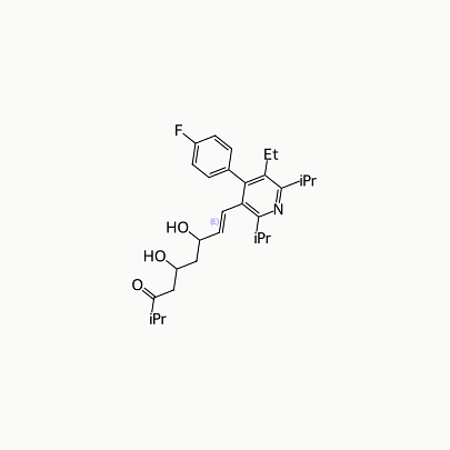 CCc1c(C(C)C)nc(C(C)C)c(/C=C/C(O)CC(O)CC(=O)C(C)C)c1-c1ccc(F)cc1